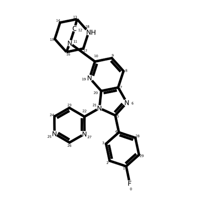 Fc1ccc(-c2nc3ccc(N4CC5CCC4CN5)nc3n2-c2ccncn2)cc1